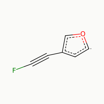 FC#Cc1c[c]oc1